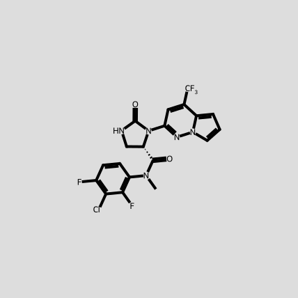 CN(C(=O)[C@@H]1CNC(=O)N1c1cc(C(F)(F)F)c2cccn2n1)c1ccc(F)c(Cl)c1F